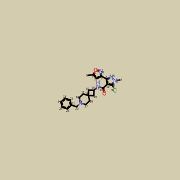 Cc1cc(-c2nn(C)c(Cl)c2C(=O)NC2CC3(CCN(Cc4ccccc4)CC3)C2)no1